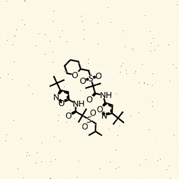 CC(C)(C)c1cc(NC(=O)C(C)(C)S(=O)(=O)CC2CCCCO2)on1.CC(C)CS(=O)(=O)C(C)(C)C(=O)Nc1cc(C(C)(C)C)no1